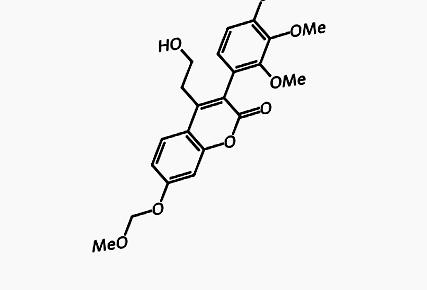 COCOc1ccc2c(CCO)c(-c3ccc(OC)c(OC)c3OC)c(=O)oc2c1